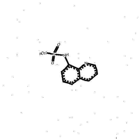 CCCCCCCCS(=O)(=O)Nc1cccc2cccnc12